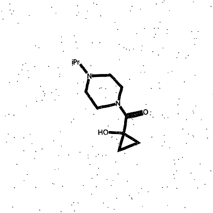 CC(C)N1CCN(C(=O)C2(O)CC2)CC1